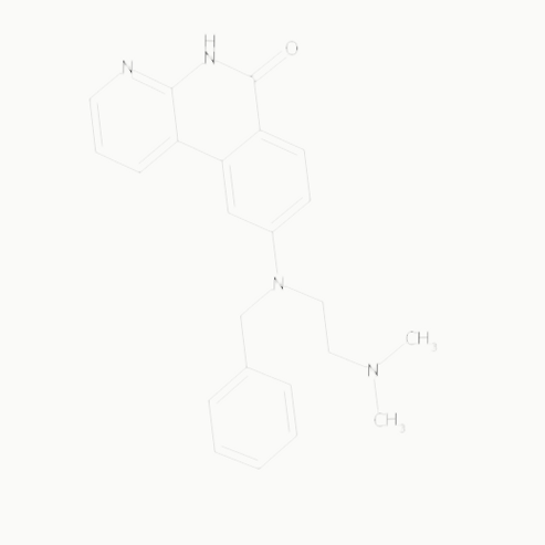 CN(C)CCN(Cc1ccccc1)c1ccc2c(=O)[nH]c3ncccc3c2c1